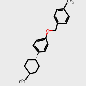 CCC[C@H]1CC[C@H](c2ccc(OCc3ccc(C(F)(F)F)cc3)cc2)CC1